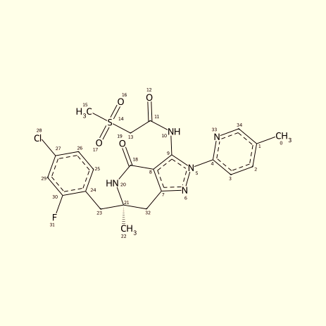 Cc1ccc(-n2nc3c(c2NC(=O)CS(C)(=O)=O)C(=O)N[C@](C)(Cc2ccc(Cl)cc2F)C3)nc1